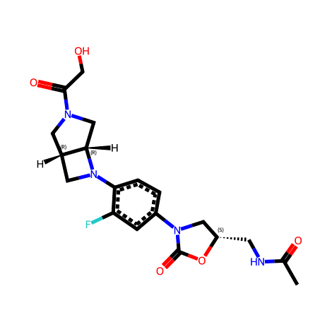 CC(=O)NC[C@H]1CN(c2ccc(N3C[C@@H]4CN(C(=O)CO)C[C@@H]43)c(F)c2)C(=O)O1